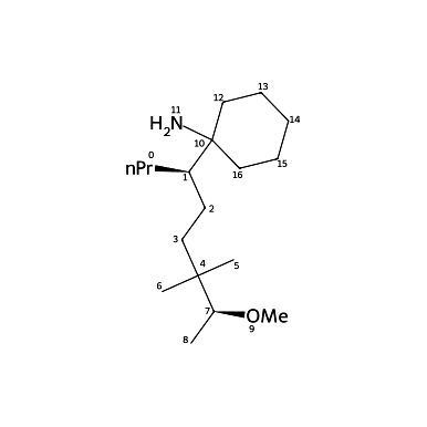 CCC[C@H](CCC(C)(C)[C@H](C)OC)C1(N)CCCCC1